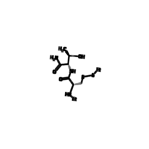 CCN[C@@H](CSSCC)C(=O)N[C@H](C(N)=O)[C@@H](C)O